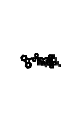 C[Si](C)(Cl)O[Si](C)(C)CCCNC(=O)OCC1c2ccccc2-c2ccccc21